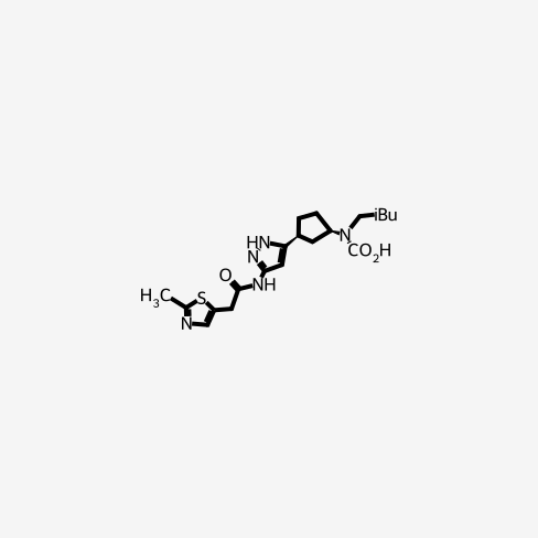 CCC(C)CN(C(=O)O)[C@@H]1CC[C@H](c2cc(NC(=O)Cc3cnc(C)s3)n[nH]2)C1